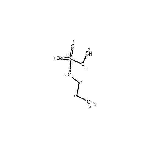 CCCOS(=O)(=O)SS